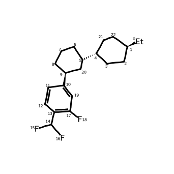 CC[C@H]1CC[C@H](C2CCC[C@H](c3ccc(C(F)F)c(F)c3)C2)CC1